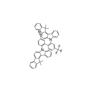 CC1(C)c2ccccc2-c2ccc3c(c21)c1ccccc1n3-c1ccc(C#N)cc1-c1ccc(C(F)(F)F)cc1-n1c2ccccc2c2c3c(ccc21)-c1ccccc1C3(C)C